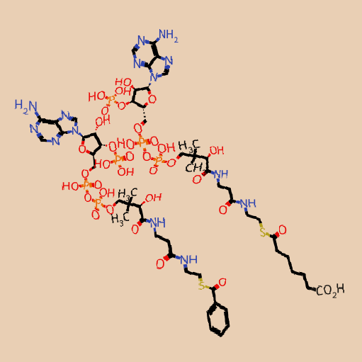 CC(C)(COP(=O)(O)OP(=O)(O)OC[C@H]1O[C@@H](n2cnc3c(N)ncnc32)[C@H](O)[C@@H]1OP(=O)(O)O)[C@@H](O)C(=O)NCCC(=O)NCCSC(=O)CCCCCC(=O)O.CC(C)(COP(=O)(O)OP(=O)(O)OC[C@H]1O[C@@H](n2cnc3c(N)ncnc32)[C@H](O)[C@@H]1OP(=O)(O)O)[C@@H](O)C(=O)NCCC(=O)NCCSC(=O)c1ccccc1